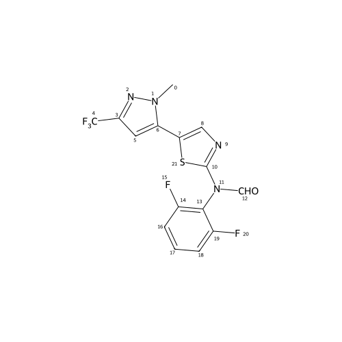 Cn1nc(C(F)(F)F)cc1-c1cnc(N(C=O)c2c(F)cccc2F)s1